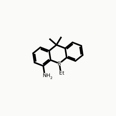 CCB1c2ccccc2C(C)(C)c2cccc(N)c21